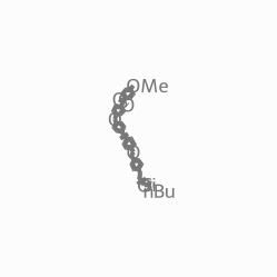 CCCC[Si](C)(C)OC(C)(C)CCc1ccc(COc2ccc(C(C)(C)c3ccc(Oc4ccc(S(=O)(=O)c5ccc(OC)cc5)cc4)cc3)cc2)cc1